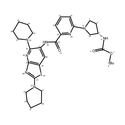 CC(C)(C)OC(=O)N[C@H]1CCN(c2cccc(C(=O)Nc3cc4sc(N5CCCCC5)nc4nc3N3CCCCC3)n2)C1